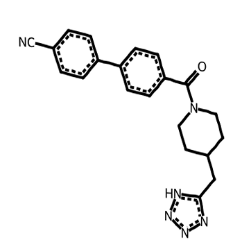 N#Cc1ccc(-c2ccc(C(=O)N3CCC(Cc4nnn[nH]4)CC3)cc2)cc1